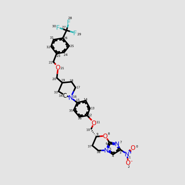 O=[N+]([O-])c1cn2c(n1)O[C@@H](COc1ccc(N3CCC(COCc4ccc(C(F)(F)F)cc4)CC3)cc1)CC2